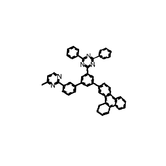 Cc1ccnc(-c2cccc(-c3cc(-c4ccc5c(c4)c4c(c6ccccc65)C=CCC4)cc(-c4nc(-c5ccccc5)nc(-c5ccccc5)n4)c3)c2)n1